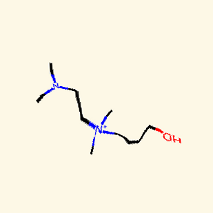 CN(C)CC[N+](C)(C)CCO